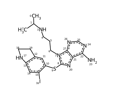 CC(C)NCCCn1c(Sc2cc3c(cc2I)NCC3)nc2c(N)ncnc21